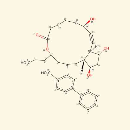 O=C(O)CCC1CC(c2cc(-c3ccccc3)ccc2C(=O)O)C[C@@H]2[C@@H](C#C[C@H](O)CCCCC(=O)O1)[C@H](O)C[C@H]2O